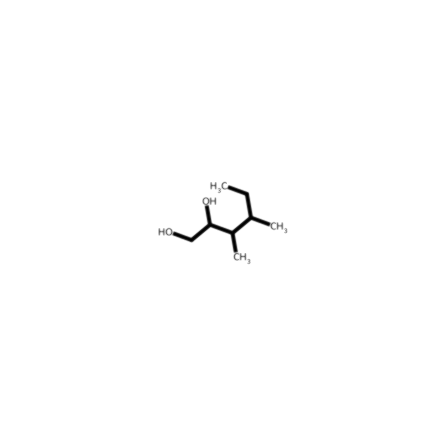 CCC(C)C(C)C(O)CO